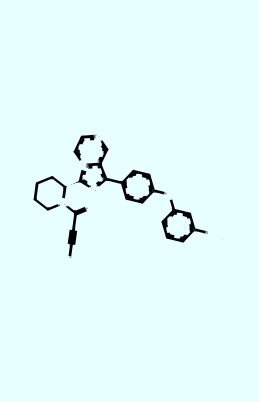 CC#CC(=O)N1CCCC[C@H]1c1nc(-c2ccc(Oc3cccc(C)c3)cc2)c2cnccn12